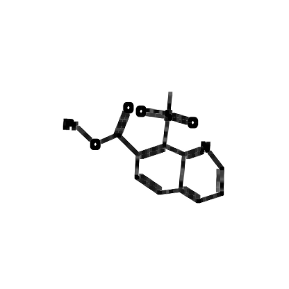 CC(C)OC(=O)c1ccc2cccnc2c1S(C)(=O)=O